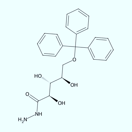 NNC(=O)[C@H](O)[C@H](O)[C@H](O)COC(c1ccccc1)(c1ccccc1)c1ccccc1